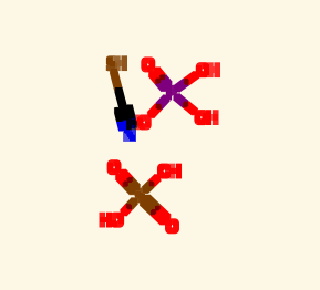 N#CS.O=P(O)(O)O.O=S(=O)(O)O